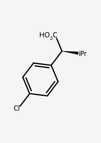 CC(C)[C@H](C(=O)O)c1ccc(Cl)cc1